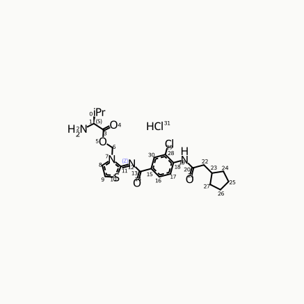 CC(C)[C@H](N)C(=O)OCn1ccs/c1=N\C(=O)c1ccc(NC(=O)CC2CCCC2)c(Cl)c1.Cl